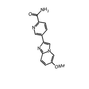 COc1ccc2nc(-c3ccc(C(N)=O)nc3)cn2c1